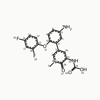 Cn1cc(-c2cc(N)ccc2Oc2ccc(F)cc2F)cc(NC(=O)O)c1=O